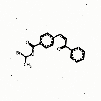 CC(Br)OC(=O)c1ccc(/C=C\C(=O)c2ccccc2)cc1